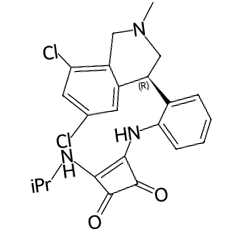 CC(C)Nc1c(Nc2ccccc2[C@@H]2CN(C)Cc3c(Cl)cc(Cl)cc32)c(=O)c1=O